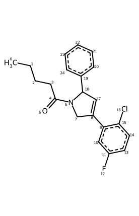 CCCCC(=O)N1CC(c2cc(F)ccc2Cl)=CC1c1ccccc1